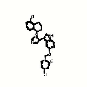 Clc1ccc(COc2cc3c(-c4cncn4C4CCCc5c(Cl)cccc54)c[nH]c3cn2)c(Cl)c1